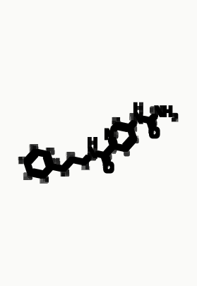 NC(=O)Nc1ccc(C(=O)NCCCc2ccccc2)nc1